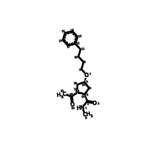 CNC(=O)[C@@H]1C[C@@H](OCCCCc2ccccc2)CN1C(C)=O